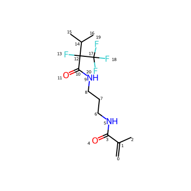 C=C(C)C(=O)NCCCNC(=O)C(F)(C(C)C)C(F)(F)F